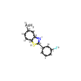 Fc1cccc(-c2nc3cc([AsH2])ccc3s2)c1